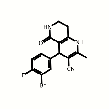 CC1=C(C#N)C(c2ccc(F)c(Br)c2)C2=C(CCNC2=O)N1